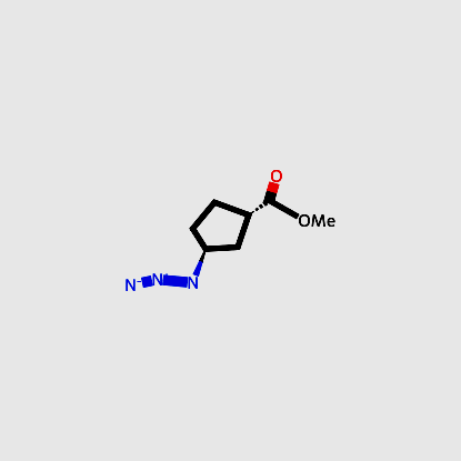 COC(=O)[C@H]1CC[C@H](N=[N+]=[N-])C1